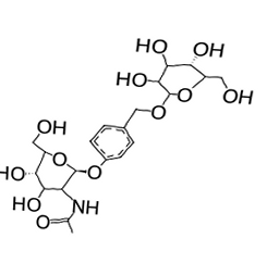 CC(=O)NC1C(O)[C@H](O)C(CO)O[C@H]1Oc1ccc(COC2OC(CO)[C@@H](O)C(O)C2O)cc1